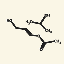 CC(=O)OC=CCO.CC(C)O